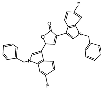 O=C1OC(c2cn(Cc3ccccc3)c3cc(F)ccc23)C=C1c1cn(Cc2ccccc2)c2cc(F)ccc12